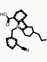 CCCC1CCc2c(c3cccc(C(=O)O)c3n2Cc2cccc(C#N)c2)C1